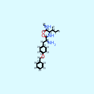 CC[C@H](C)C(NC(=O)[C@@H](N)Cc1ccc(OCc2ccccc2)cc1)C(=O)NC